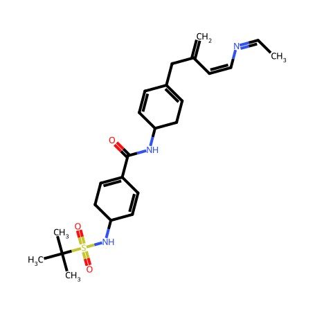 C=C(/C=C\N=C/C)CC1=CCC(NC(=O)C2=CCC(NS(=O)(=O)C(C)(C)C)C=C2)C=C1